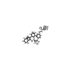 O=C(C=Cc1ccc(C2CCCN2CCc2c(-c3cccnc3)nn3ccccc23)cc1)NO